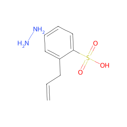 C=CCc1ccccc1S(=O)(=O)O.NN